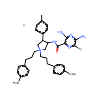 COc1ccc(CCC[N+]2(CCCc3ccc(OC)cc3)CC(NC(=O)c3nc(Cl)c(N)nc3N)C(c3ccc(C)cc3)C2)cc1.[Cl-]